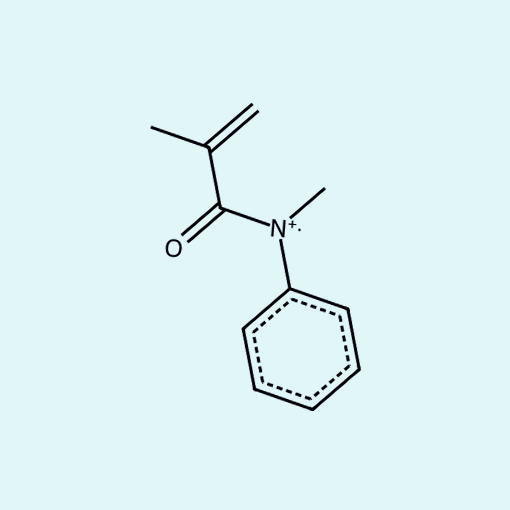 C=C(C)C(=O)[N+](C)c1ccccc1